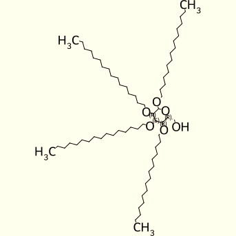 CCCCCCCCCCCCCCCCOC1O[C@H](CO)[C@@H](OCCCCCCCCCCCCCCCC)[C@H](OCCCCCCCCCCCCCCCC)[C@H]1OCCCCCCCCCCCCCCCC